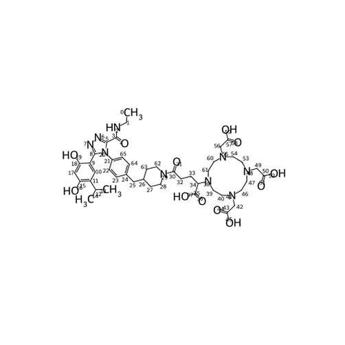 CCNC(=O)c1nnc(-c2cc(C(C)C)c(O)cc2O)n1-c1ccc(CC2CCN(C(=O)CCC(C(=O)O)N3CCN(CC(=O)O)CCN(CC(=O)O)CCN(CC(=O)O)CC3)CC2)cc1